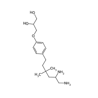 CC(C)(CCc1ccc(OCC(O)CO)cc1)CC(N)CN